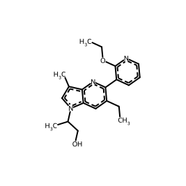 CCOc1ncccc1-c1nc2c(C)cn(C(C)CO)c2cc1CC